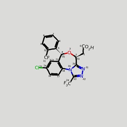 O=C(O)C[C@@H]1O[C@@H](c2ccccc2C(F)(F)F)c2cc(Cl)ccc2-n2c1nnc2C(F)(F)F